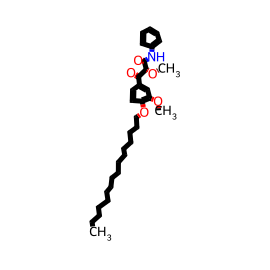 CCCCCCCCCCCCCCCCOc1ccc(C(=O)C(OC)C(=O)Nc2ccccc2)cc1OC